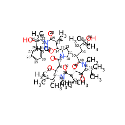 CC[C@@H](C)[C@H]([C@H](CC(=O)N1CCC[C@@H]1[C@@H](OC)[C@H](C)C(=O)N[C@@H](C)[C@H](O)c1ccccc1)OC)N(C)C(=O)[C@H](CC(=O)[C@@H](C(C)C)N(C)C(=O)CCC[Si](C)(C)O)C(C)C